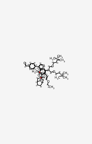 CCOC=Cc1c(C2CC3CCC(C2)N3C(=O)OC(C)(C)C)nc2c(-c3ccc(C=O)nc3)cnn2c1N(COCC[Si](C)(C)C)COCC[Si](C)(C)C